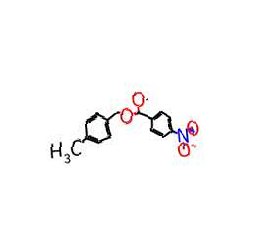 Cc1ccc(COC([O])c2ccc([N+](=O)[O-])cc2)cc1